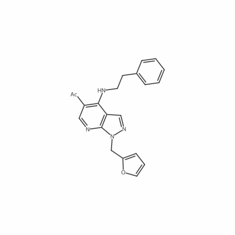 CC(=O)c1cnc2c(cnn2Cc2ccco2)c1NCCc1ccccc1